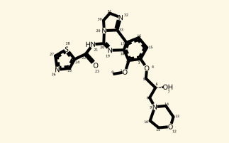 COc1c(OC[C@H](O)CN2CCOCC2)ccc2c1N=C(NC(=O)c1cncs1)N1CCN=C21